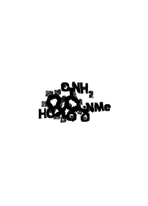 CNC(=O)c1cc(C(N)=O)cc2c1OCC2(CO)c1ccccc1